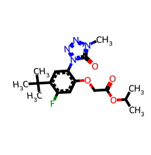 CC(C)OC(=O)COc1cc(F)c(C(C)(C)C)cc1-n1nnn(C)c1=O